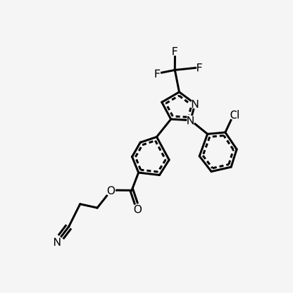 N#CCCOC(=O)c1ccc(-c2cc(C(F)(F)F)nn2-c2ccccc2Cl)cc1